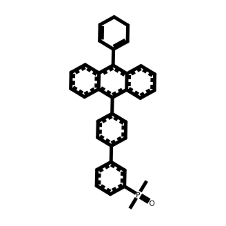 CP(C)(=O)c1cccc(-c2ccc(-c3c4ccccc4c(C4=CCCC=C4)c4ccccc34)cc2)c1